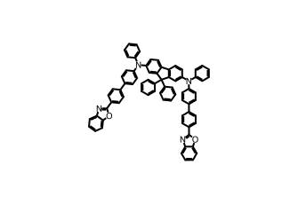 c1ccc(N(c2ccc(-c3ccc(-c4nc5ccccc5o4)cc3)cc2)c2ccc3c(c2)C(c2ccccc2)(c2ccccc2)c2cc(N(c4ccccc4)c4ccc(-c5ccc(-c6nc7ccccc7o6)cc5)cc4)ccc2-3)cc1